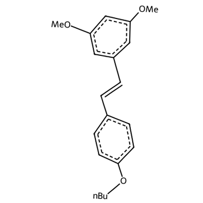 CCCCOc1ccc(C=Cc2cc(OC)cc(OC)c2)cc1